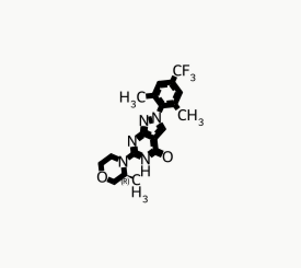 Cc1cc(C(F)(F)F)cc(C)c1-n1cc2c(=O)[nH]c(N3CCOC[C@H]3C)nc2n1